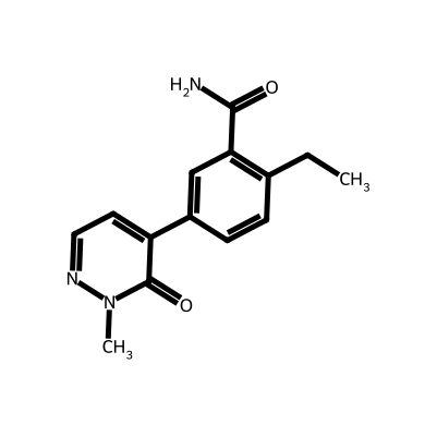 CCc1ccc(-c2ccnn(C)c2=O)cc1C(N)=O